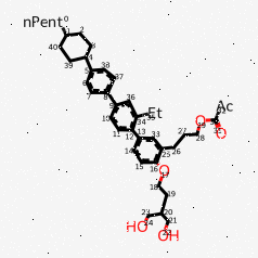 CCCCCC1CCC(c2ccc(-c3ccc(-c4ccc(OCCC(CO)CO)c(CCCOC(=O)C(C)=O)c4)c(CC)c3)cc2)CC1